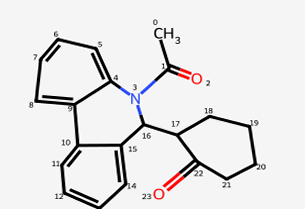 CC(=O)N1c2ccccc2-c2ccccc2C1C1CCCCC1=O